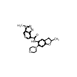 CC1Cc2cc(NC(=O)c3cncc4c3nnn4C)c(N3CCOCC3)cc2O1